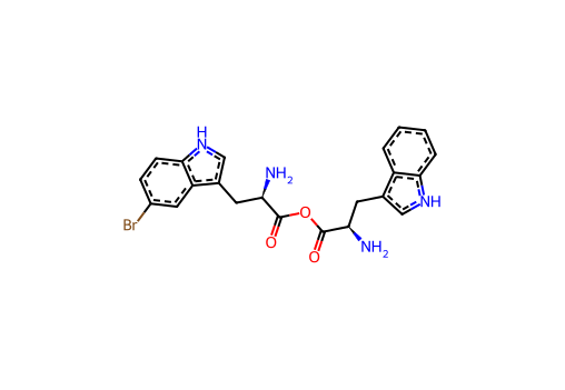 N[C@H](Cc1c[nH]c2ccccc12)C(=O)OC(=O)[C@H](N)Cc1c[nH]c2ccc(Br)cc12